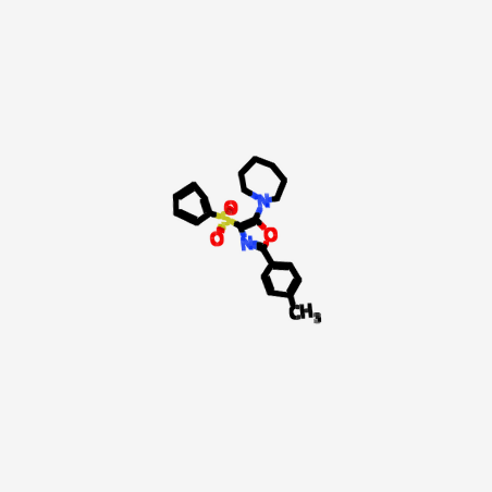 Cc1ccc(-c2nc(S(=O)(=O)c3ccccc3)c(N3CCCCCC3)o2)cc1